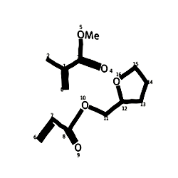 C=C(C)C(=O)OC.C=CC(=O)OCC1CCCO1